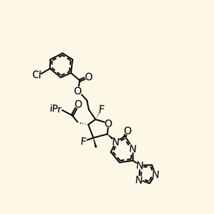 CC(C)C(=O)C[C@H]1[C@@](C)(F)[C@H](n2ccc(-n3cncn3)nc2=O)O[C@]1(F)CCOC(=O)c1cccc(Cl)c1